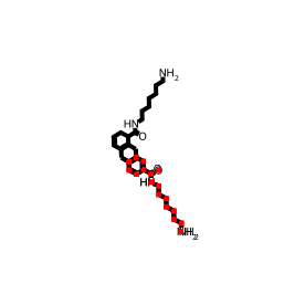 NCCCCCCCNC(=O)c1ccc2c(c1)C1C3=C(C=CCC3C(=O)NCCCCCCCN)C2c2ccc(C(=O)NCCCCCCCN)cc21